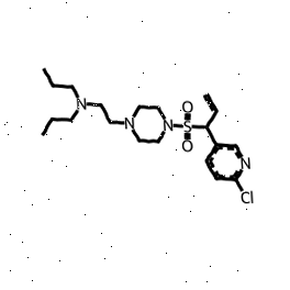 C=CC(c1ccc(Cl)nc1)S(=O)(=O)N1CCN(CCN(CCC)CCC)CC1